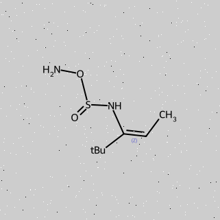 C/C=C(\NS(=O)ON)C(C)(C)C